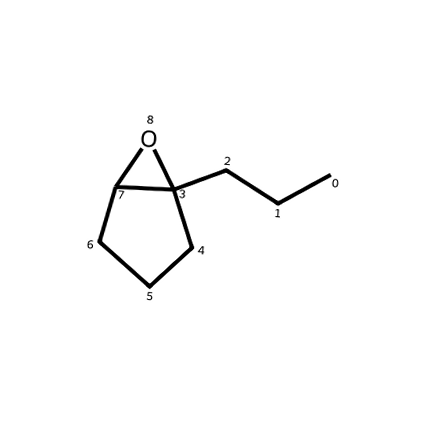 CCCC12CCCC1O2